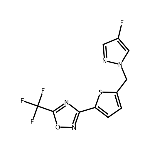 Fc1cnn(Cc2ccc(-c3noc(C(F)(F)F)n3)s2)c1